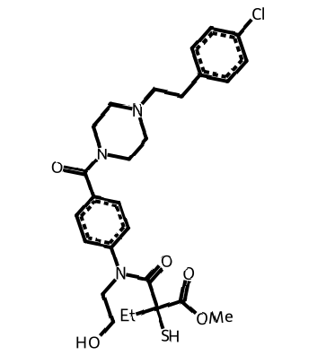 CCC(S)(C(=O)OC)C(=O)N(CCO)c1ccc(C(=O)N2CCN(CCc3ccc(Cl)cc3)CC2)cc1